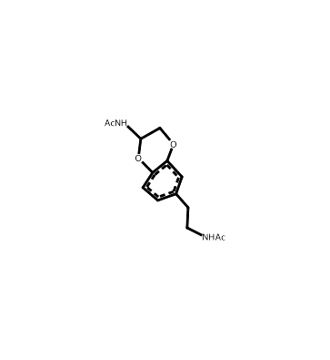 CC(=O)NCCc1ccc2c(c1)OCC(NC(C)=O)O2